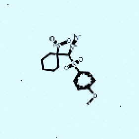 COc1ccc(S(=O)(=O)C(=[N+]=[N-])C2([SH](=O)=O)CCCCC2)cc1